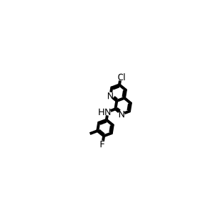 Cc1cc(Nc2nccc3cc(Cl)cnc23)ccc1F